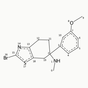 CNC1(c2cccc(OC)c2)CCc2nc(Br)sc2C1